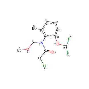 CCOCN(C(=O)CCl)c1c(CC)cccc1OC(F)F